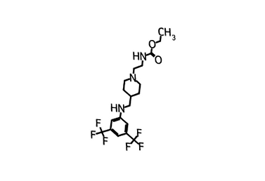 CCOC(=O)NCCN1CCC(CNc2cc(C(F)(F)F)cc(C(F)(F)F)c2)CC1